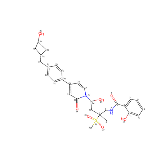 CC(CNC(=O)c1ccccc1O)(CC(O)n1ccc(-c2ccc(CC3CC(O)C3)cc2)cc1=O)S(C)(=O)=O